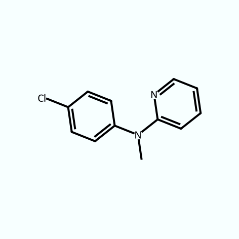 CN(c1ccc(Cl)cc1)c1ccccn1